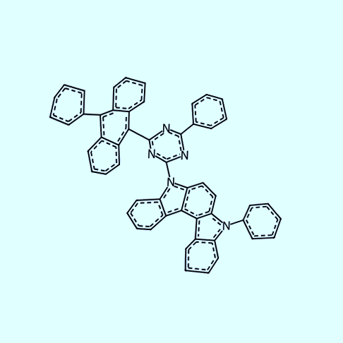 c1ccc(-c2nc(-c3c4ccccc4c(-c4ccccc4)c4ccccc34)nc(-n3c4ccccc4c4c5c6ccccc6n(-c6ccccc6)c5ccc43)n2)cc1